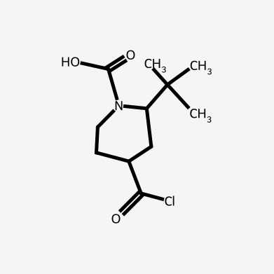 CC(C)(C)C1CC(C(=O)Cl)CCN1C(=O)O